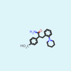 NC(=O)C(Cc1ccccc1N1CCCCC1)c1ccc(C(=O)O)cc1